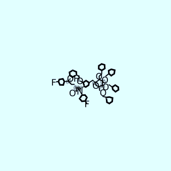 O=C1[C@H](CC[C@H](O)c2ccc(F)cc2)[C@@H](c2ccc(C[C@@H]3OC(COCc4ccccc4)[C@@H](OCc4ccccc4)[C@@H](OCc4ccccc4)C3OCc3ccccc3)cc2OCc2ccccc2)N1c1ccc(F)cc1